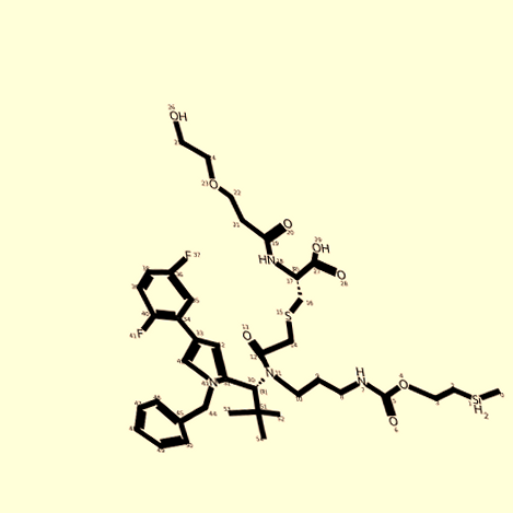 C[SiH2]CCOC(=O)NCCCN(C(=O)CSC[C@H](NC(=O)CCOCCO)C(=O)O)[C@@H](c1cc(-c2cc(F)ccc2F)cn1Cc1ccccc1)C(C)(C)C